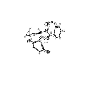 CN(CCC1(Nc2ccc(Br)cc2[N+](=O)[O-])CC1)C(=O)c1ccccc1C=O